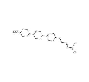 CCC(F)C=CCC[C@H]1CC[C@H]([C@H]2CC[C@H]([C@H]3CC[C@H](C#N)CC3)CC2)CC1